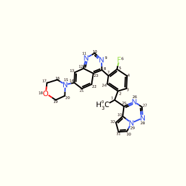 CC(c1ccc(F)c(-c2ncnc3cc(N4CCOCC4)ccc23)c1)c1ncnn2cccc12